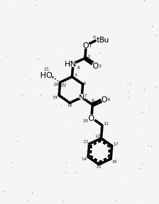 CC(C)(C)OC(=O)NC1CN(C(=O)OCc2ccccc2)CC[C@@H]1O